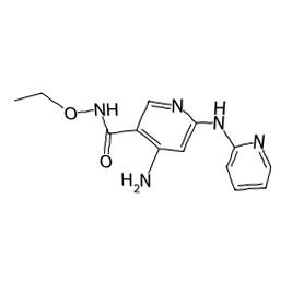 CCONC(=O)c1cnc(Nc2ccccn2)cc1N